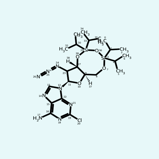 CC(C)[Si]1(C(C)C)OC[C@H]2O[C@@H](n3cnc4c(N)nc(Cl)nc43)C(N=[N+]=[N-])[C@@H]2O[Si](C(C)C)(C(C)C)O1